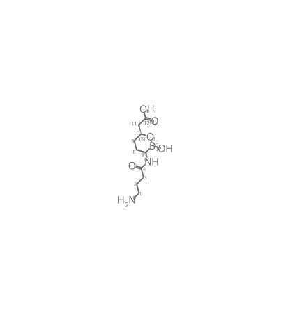 NCCCC(=O)N[C@H]1CC[C@@H](CC(=O)O)OB1O